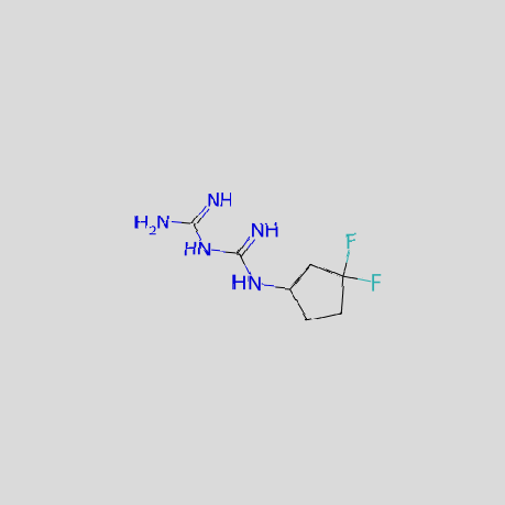 N=C(N)NC(=N)NC1CCC(F)(F)C1